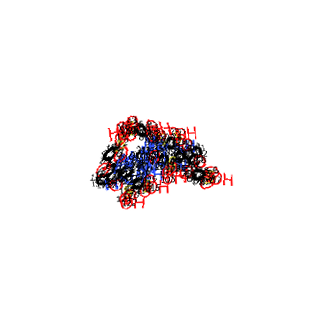 Cn1c(=O)c(C(=O)c2cccc(SOOO)c2)c2c3c(c(Nc4cc(Nc5nc(NCCNc6nc(Nc7cc(Nc8ccc9c%10c8C(=O)c8ccccc8-c%10c(C(=O)c8cccc(S(=O)(=O)O)c8)c(=O)n9C)c(S(=O)(=O)O)cc7SOOO)nc(Oc7ccc(S(=O)(=O)O)cc7)n6)nc(Oc6ccc(SOOO)cc6)n5)c(S(=O)(=O)O)cc4SOOO)ccc31)C(=O)c1ccccc1-2